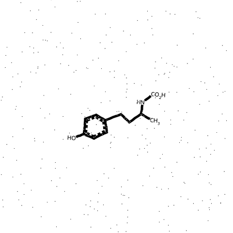 CC(CCc1ccc(O)cc1)NC(=O)O